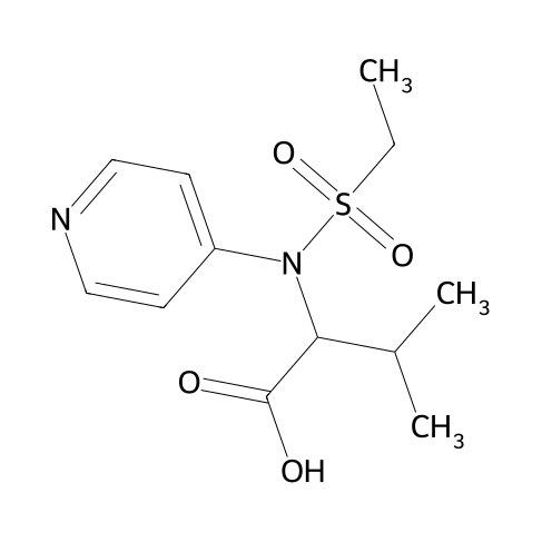 CCS(=O)(=O)N(c1ccncc1)C(C(=O)O)C(C)C